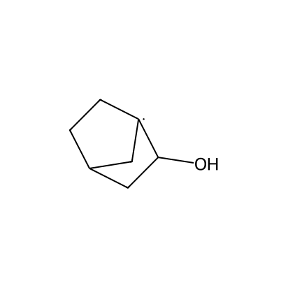 OC1CC2CC[C]1C2